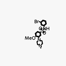 COc1ccc(S(=O)(=O)Nc2cccc(Br)c2)cc1N1CCN(C)CC1